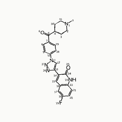 CN1CCC(C(=O)c2ccc(-n3cc(-c4cc5cc(F)ccc5[nH]c4=O)nn3)cc2)CC1